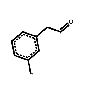 [CH]c1cccc(C[C]=O)c1